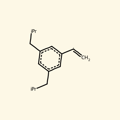 C=[C]c1cc(CC(C)C)cc(CC(C)C)c1